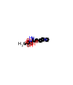 CC[C@H]1OC(O)[C@H](NC(=O)/C(C#N)=C/c2ccc(-c3ccc4cc(N5CCCCC5)ccc4c3)o2)[C@@H](O)[C@@H]1O